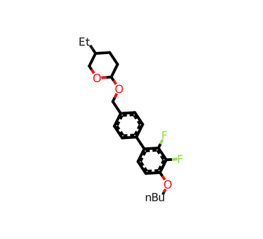 CCCCOc1ccc(-c2ccc(COC3CCC(CC)CO3)cc2)c(F)c1F